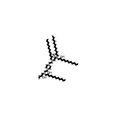 CCCCCCCCCCC(O)CN(CCN1CCN(CCN(CC(O)CC)CC(O)CCCCCCCCCC)CC1)CCN(CC(O)CCCCCCCCCC)CC(O)CCCCCCCCCC